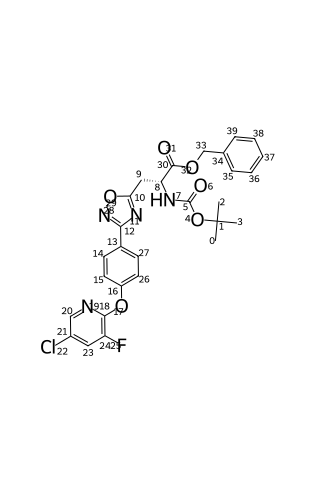 CC(C)(C)OC(=O)N[C@H](Cc1nc(-c2ccc(Oc3ncc(Cl)cc3F)cc2)no1)C(=O)OCc1ccccc1